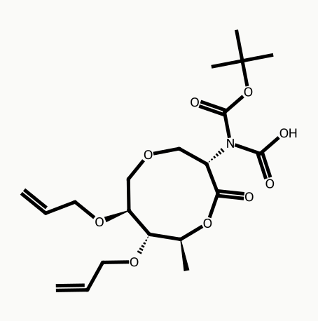 C=CCO[C@H]1[C@H](C)OC(=O)[C@@H](N(C(=O)O)C(=O)OC(C)(C)C)COC[C@@H]1OCC=C